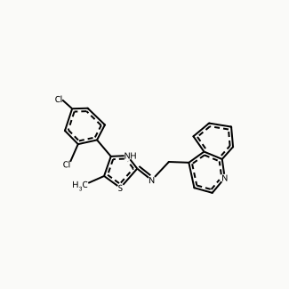 Cc1sc(=NCc2ccnc3ccccc23)[nH]c1-c1ccc(Cl)cc1Cl